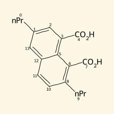 CCCc1cc(C(=O)O)c2c(C(=O)O)c(CCC)ccc2c1